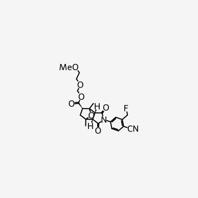 COCCOCOC(=O)[C@@H]1CC2(C)OC1(C)[C@@H]1C(=O)N(c3ccc(C#N)c(CF)c3)C(=O)[C@@H]12